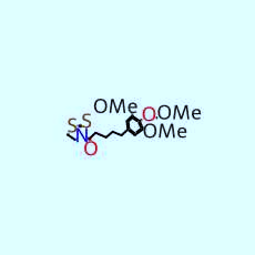 COCOc1c(OC)cc(CCCCC(=O)N2CCSC2=S)cc1OC